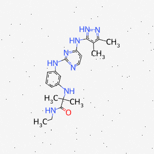 CCNC(=O)C(C)(C)Nc1cccc(Nc2nccc(Nc3[nH]nc(C)c3C)n2)c1